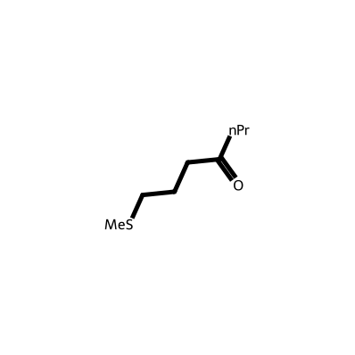 CCCC(=O)CCCSC